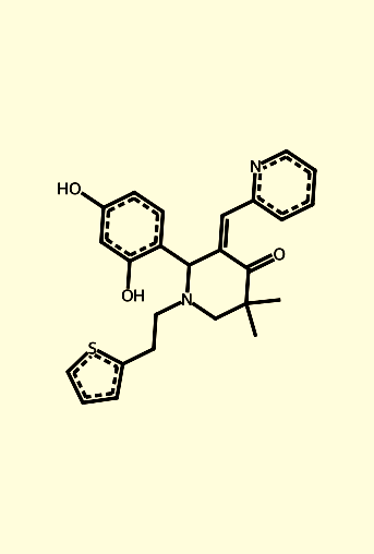 CC1(C)CN(CCc2cccs2)C(c2ccc(O)cc2O)C(=Cc2ccccn2)C1=O